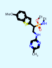 CCNP(=O)(OCC)C(CNc1cnc(C)cn1)c1cc2ccc(OC)cc2s1